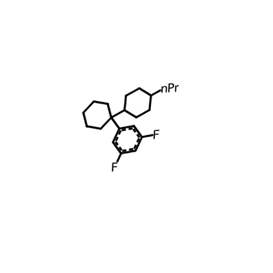 CCCC1CCC(C2(c3cc(F)cc(F)c3)CCCCC2)CC1